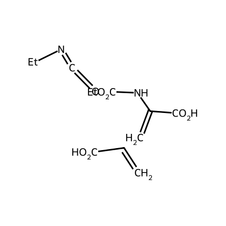 C=C(NC(=O)OCC)C(=O)O.C=CC(=O)O.CCN=C=O